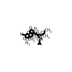 CCCC(C)(C)CC[C@@](C)(CC[C@]1(C)CC(=O)C=C2[C@@]3(C)C=C(C#N)C(=O)C(C)(C)[C@@H]3CC[C@]21C)c1nnc(C2CC2)o1